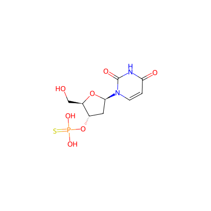 O=c1ccn([C@H]2C[C@H](OP(O)(O)=S)[C@@H](CO)O2)c(=O)[nH]1